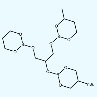 CCCCC1COB(OC(COB2OCCCO2)COB2OCCC(C)O2)OC1